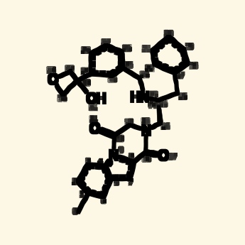 Cc1ccc2c(c1)cc1n2C(=O)CN(C[C@H](Cc2ccccc2)NCc2cccc(C3(O)COC3)c2)C1=O